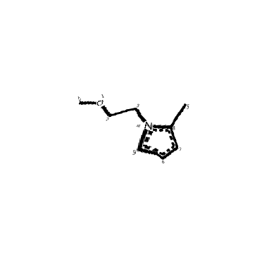 COCCn1cccc1C